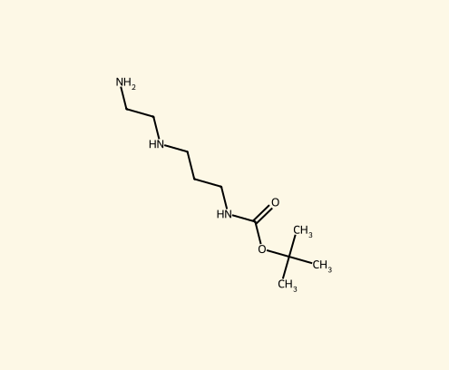 CC(C)(C)OC(=O)NCCCNCCN